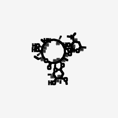 CC[C@H]1OC(=O)[C@H](C)[C@@H](OC2C[C@@](C)(OC)[C@@H](O)[C@H](C)O2)[C@H](C)[C@@H](O[C@@H]2O[C@H](C)C[C@H](N(C)C)[C@H]2O)C(C)(O)C[C@@H](C)CN[C@H](C)[C@@H](O)[C@]1(C)O